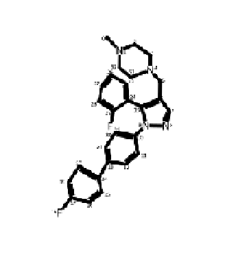 CN1CCN(Cc2cnn(-c3ccc(-c4ccc(F)cc4)cc3)c2-c2ccccc2F)CC1